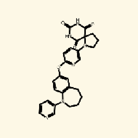 O=C1NC(=O)C2(CCCN2c2ccc(Oc3ccc4c(c3)CCCCN4c3cccnc3)nc2)C(=O)N1